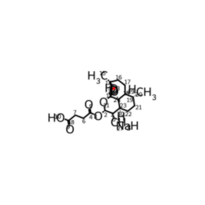 C[C@H]1[C@@H](OC(=O)CCC(=O)O)O[C@@H]2O[C@@]3(C)CC[C@H]4[C@H](C)CC[C@@H]1[C@@]24OO3.[NaH]